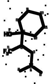 CN(C)CC(C(F)(F)F)C1(O)CCCCC1